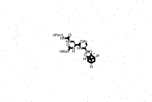 CCCCCCCCCC(=O)N[C@@H](CNC(=O)NCCCCC)C(=O)N[C@@H](CC(C)C)B1O[C@@H]2C[C@@H]3C[C@@H](C3(C)C)[C@]2(C)O1